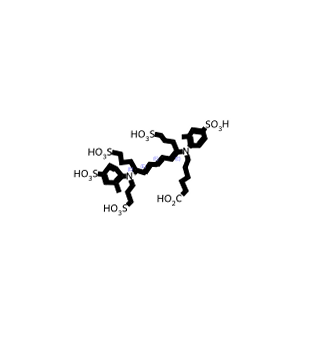 Cc1cc(S(=O)(=O)O)ccc1N(CCCCCC(=O)O)/C(=C/C=C/C=C/C(CCCS(=O)(=O)O)=[N+](\CCCS(=O)(=O)O)c1ccc(S(=O)(=O)O)cc1C)CCCS(=O)(=O)O